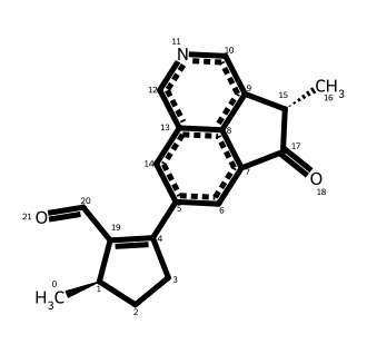 C[C@@H]1CCC(c2cc3c4c(cncc4c2)[C@H](C)C3=O)=C1C=O